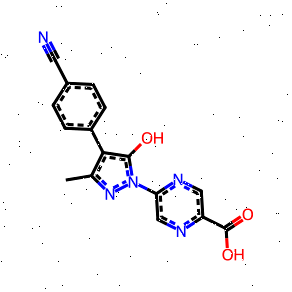 Cc1nn(-c2cnc(C(=O)O)cn2)c(O)c1-c1ccc(C#N)cc1